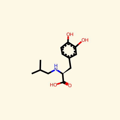 CC(C)CN[C@@H](Cc1ccc(O)c(O)c1)C(=O)O